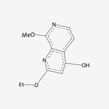 CCOc1cc(O)c2ccnc(OC)c2n1